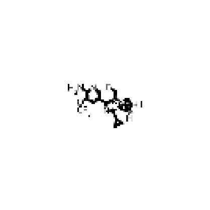 Nc1ncc(-c2cn([C@@]34C5[C@H]3[C@H]4CN5CCF)c(C3CC3)n2)cc1OC(F)(F)F